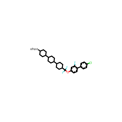 CCCCCC1CCC(C2CCC(C3CCC(C(F)(F)Oc4ccc(-c5ccc(Cl)cc5)c(F)c4)CC3)CC2)CC1